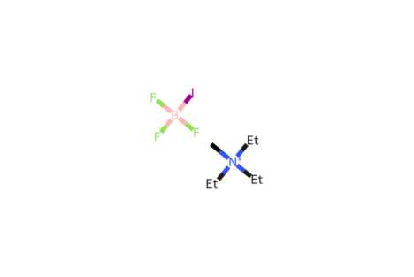 CC[N+](C)(CC)CC.F[B-](F)(F)I